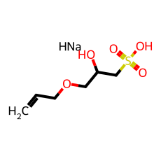 C=CCOCC(O)CS(=O)(=O)O.[NaH]